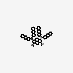 CC(C)c1cc(B(c2ccc3cc4ccccc4cc3c2)c2ccc3cc4ccccc4cc3c2)c2ccc3c(B(c4ccc5cc6ccccc6cc5c4)c4ccc5cc6ccccc6cc5c4)cc(C(C)C)c4ccc1c2c34